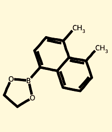 Cc1cccc2c(B3OCCO3)ccc(C)c12